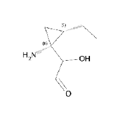 CC[C@H]1C[C@]1(N)C(O)C=O